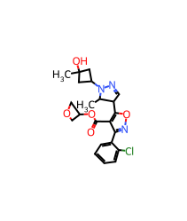 CC1C(c2onc(-c3ccccc3Cl)c2C(=O)OC2COC2)C=NN1C1CC(C)(O)C1